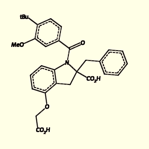 COc1cc(C(=O)N2c3cccc(OCC(=O)O)c3CC2(Cc2ccccc2)C(=O)O)ccc1C(C)(C)C